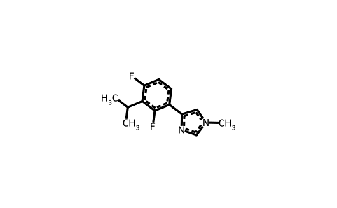 CC(C)c1c(F)ccc(-c2cn(C)cn2)c1F